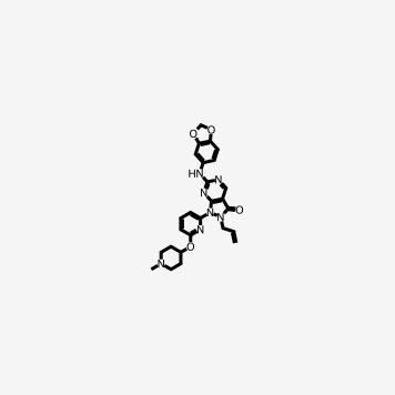 C=CCn1c(=O)c2cnc(Nc3ccc4c(c3)OCO4)nc2n1-c1cccc(OC2CCN(C)CC2)n1